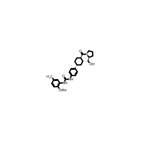 COc1ccc(C)cc1NC(=O)Nc1ccc([C@H]2CC[C@H](C(=O)N3CCC[C@H]3CO)CC2)cc1